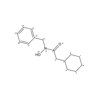 O=C(CC1CCCCC1)N(O)Cc1ccccc1